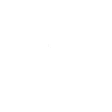 Cc1ccc2cc3c(cc2c1)sc1cc2c(cc13)sc1c3ccc(C)cc3ccc21